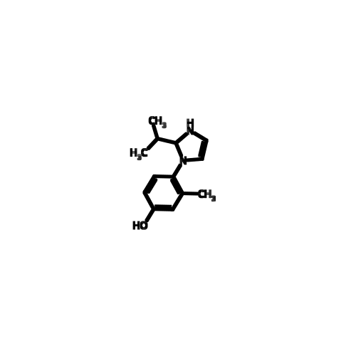 Cc1cc(O)ccc1N1C=CNC1C(C)C